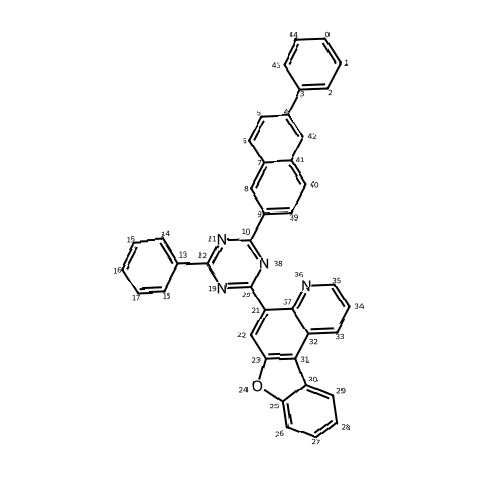 c1ccc(-c2ccc3cc(-c4nc(-c5ccccc5)nc(-c5cc6oc7ccccc7c6c6cccnc56)n4)ccc3c2)cc1